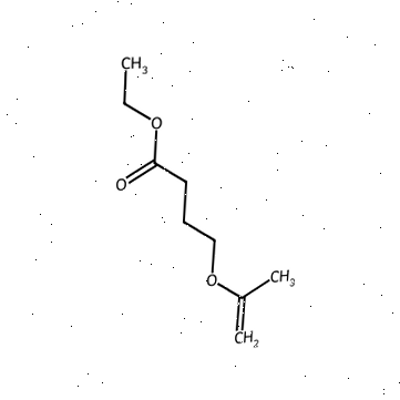 C=C(C)OCCCC(=O)OCC